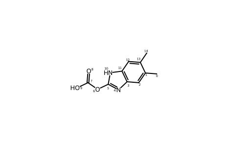 Cc1cc2nc(OC(=O)O)[nH]c2cc1C